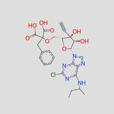 C#C[C@@]1(O)[C@@H](COC(Cc2ccccc2)(C(=O)O)C(=O)O)O[C@@H](n2cnc3c(NC(C)CC)nc(Cl)nc32)[C@@H]1O